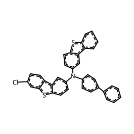 Clc1ccc2c(c1)sc1ccc(N(c3ccc(-c4ccccc4)cc3)c3ccc4sc5ccccc5c4c3)cc12